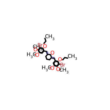 CCCCOc1c(/C=C2\CCC/C(=C\c3cc(OC)c(OC)c(Br)c3OCCCC)C2=O)cc(OC)c(OC)c1Br